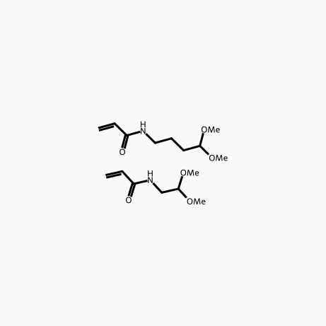 C=CC(=O)NCC(OC)OC.C=CC(=O)NCCCC(OC)OC